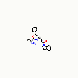 CC(C)[C@H](N)C(=O)N[C@H](/C=C/C(=O)N1CCc2ccccc21)CCc1ccccc1